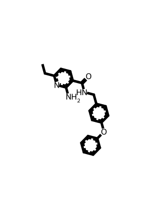 CCc1ccc(C(=O)NCc2ccc(Oc3ccccc3)cc2)c(N)n1